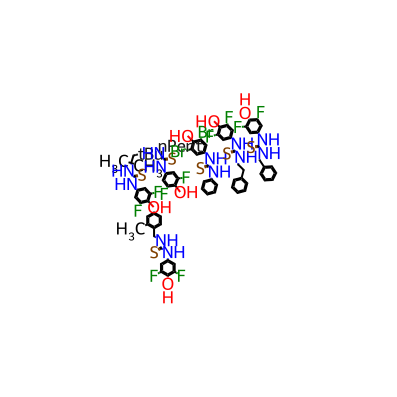 CC(C)(C)CC(C)(C)NC(=S)Nc1cc(F)c(O)c(F)c1.CCCCCNC(=S)Nc1cc(F)c(O)c(F)c1.Cc1ccccc1CNC(=S)Nc1cc(F)c(O)c(F)c1.Oc1c(Br)cc(NC(=S)Nc2ccccc2)cc1Br.Oc1c(F)cc(NC(=S)NCCc2ccccc2)cc1F.Oc1c(F)cc(NC(=S)NCc2ccccc2)cc1F